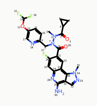 CN(C(=O)C1CC1)N(Cc1ccc(OC(F)F)cn1)C(=O)c1cc2c(cc1F)nc(N)c1cnn(C)c12